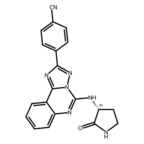 N#Cc1ccc(-c2nc3c4ccccc4nc(N[C@@H]4CCNC4=O)n3n2)cc1